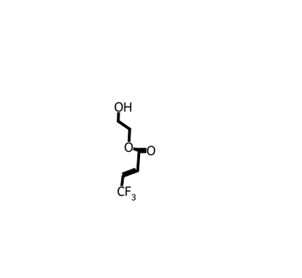 O=C(C=CC(F)(F)F)OCCO